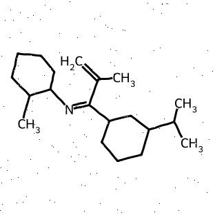 C=C(C)/C(=N\C1CCCCC1C)C1CCCC(C(C)C)C1